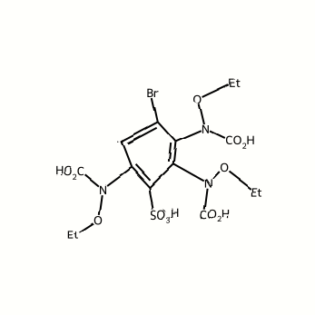 CCON(C(=O)O)c1[c]c(Br)c(N(OCC)C(=O)O)c(N(OCC)C(=O)O)c1S(=O)(=O)O